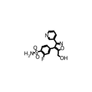 NS(=O)(=O)c1ccc(-c2c(-c3cccnc3)noc2CO)cc1F